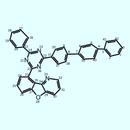 c1ccc(-c2ccc(-c3ccc(-c4nc(-c5ccccc5)nc(-c5cccc6oc7cccnc7c56)n4)cc3)cc2)cc1